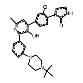 Cc1cc(-c2ccc(-n3cc[nH]c3=O)c(Cl)c2)c(O)c(-c2cccc(N3CCN(C(C)(C)C)CC3)c2)n1